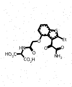 CCc1sc2cccc(OCC(=O)NC(C(=O)O)C(=O)O)c2c1C(=O)C(N)=O